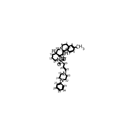 Cc1ccc2c(c1)CCN1C[C@H]3CCCN(S(=O)(=O)CCCN4CCN(c5ccccc5)CC4)[C@H]3C[C@@H]21